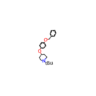 CC(C)(C)N1CCC(Oc2ccc(OCc3ccccc3)cc2)CC1